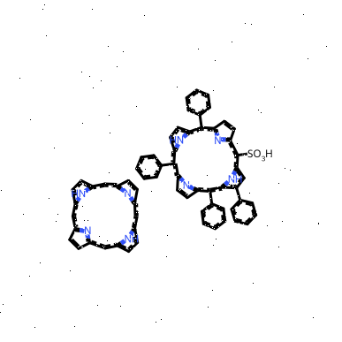 C1=Cc2cc3ccc(cc4nc(cc5ccc(cc1n2)[nH]5)C=C4)[nH]3.O=S(=O)(O)c1c2nc(c(-c3ccccc3)c3ccc([nH]3)c(-c3ccccc3)c3nc(c(-c4ccccc4)c4[nH]c1cc4-c1ccccc1)C=C3)C=C2